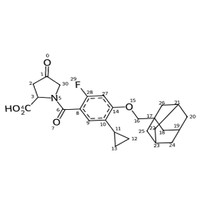 O=C1CC(C(=O)O)N(C(=O)c2cc(C3CC3)c(OCC34CC5CC(CC(C5)C3)C4)cc2F)C1